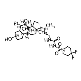 CC[C@@H]1C2C[C@H](O)CC[C@]2(C)[C@H]2CC[C@]3(C)[C@@H]([C@H](C)CCNC(=O)NS(=O)(=O)N4CCC(F)(F)CC4)CC[C@H]3[C@@H]2[C@@H]1O